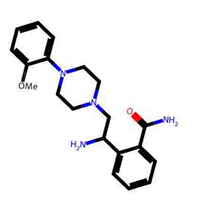 COc1ccccc1N1CCN(CC(N)c2ccccc2C(N)=O)CC1